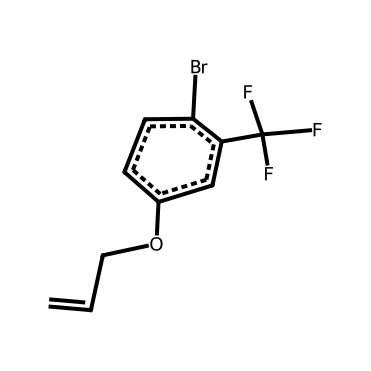 C=CCOc1ccc(Br)c(C(F)(F)F)c1